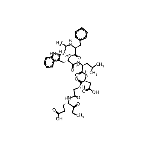 CCC(=O)[C@H](CCC(=O)O)NC(=O)CNC(=O)[C@H](CC(=O)O)NC(=O)[C@H](CC(C)C)NC(=O)[C@H](Cc1c[nH]c2ccccc12)NC(=O)[C@H](Cc1ccccc1)NC(C)C